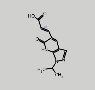 CC(C)n1ncc2cc(/C=C/C(=O)O)c(=O)[nH]c21